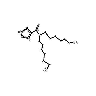 CCCCCCCN(CCCCCCC)C(=O)c1c[nH]cn1